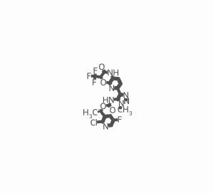 C[C@@H](OC(=O)Nc1c(-c2ccc3c(n2)OC(C(F)(F)F)C(=O)N3)nnn1C)c1cc(F)cnc1Cl